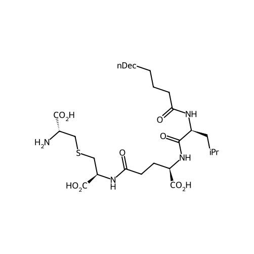 CCCCCCCCCCCCCC(=O)N[C@@H](CC(C)C)C(=O)N[C@H](CCC(=O)N[C@H](CSC[C@H](N)C(=O)O)C(=O)O)C(=O)O